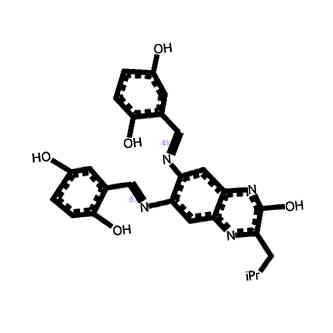 CC(C)Cc1nc2cc(/N=C/c3cc(O)ccc3O)c(/N=C/c3cc(O)ccc3O)cc2nc1O